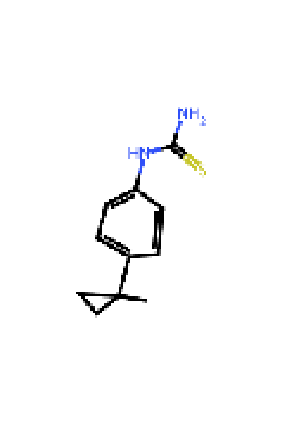 CC1(c2ccc(NC(N)=S)cc2)CC1